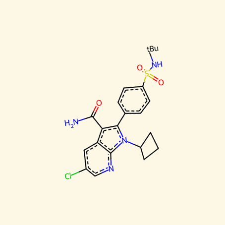 CC(C)(C)NS(=O)(=O)c1ccc(-c2c(C(N)=O)c3cc(Cl)cnc3n2C2CCC2)cc1